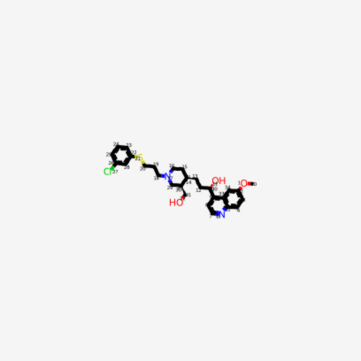 COc1ccc2nccc([C@H](O)CC[C@@H]3CCN(CCCSc4cccc(Cl)c4)C[C@@H]3CO)c2c1